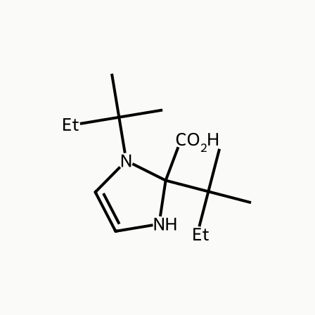 CCC(C)(C)N1C=CNC1(C(=O)O)C(C)(C)CC